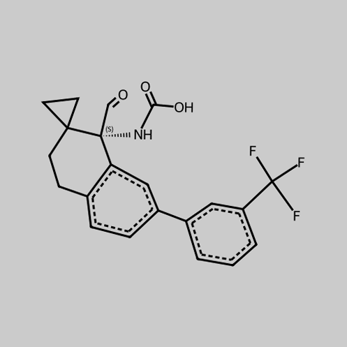 O=C[C@@]1(NC(=O)O)c2cc(-c3cccc(C(F)(F)F)c3)ccc2CCC12CC2